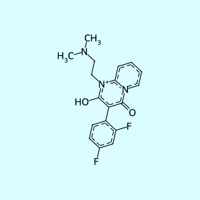 CN(C)CC[n+]1c(O)c(-c2ccc(F)cc2F)c(=O)n2ccccc21